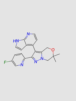 CC1(C)Cn2nc(-c3ccc(F)cn3)c(-c3ccnc4[nH]ccc34)c2CO1